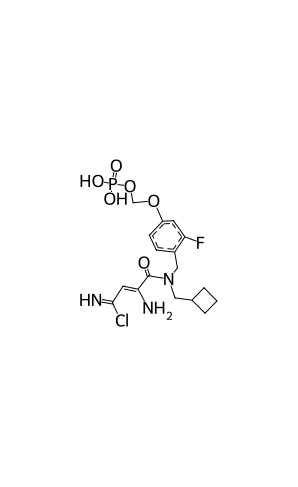 N=C(Cl)/C=C(\N)C(=O)N(Cc1ccc(OCOP(=O)(O)O)cc1F)CC1CCC1